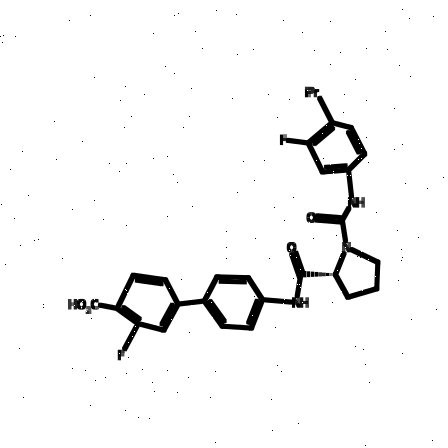 CC(C)c1ccc(NC(=O)N2CCC[C@@H]2C(=O)Nc2ccc(-c3ccc(C(=O)O)c(F)c3)cc2)cc1F